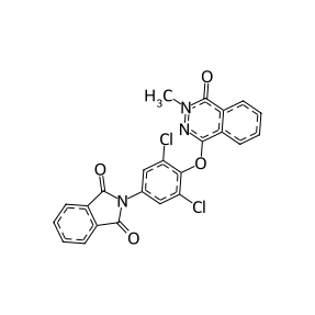 Cn1nc(Oc2c(Cl)cc(N3C(=O)c4ccccc4C3=O)cc2Cl)c2ccccc2c1=O